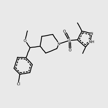 COC(c1ccc(Cl)cc1)C1CCN(S(=O)(=O)c2c(C)n[nH]c2C)CC1